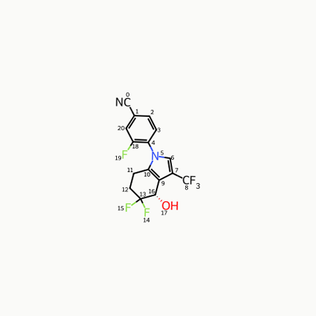 N#Cc1ccc(-n2cc(C(F)(F)F)c3c2CCC(F)(F)[C@H]3O)c(F)c1